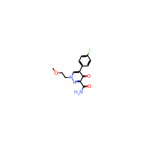 COCCn1cc(-c2ccc(F)cc2)c(=O)c(C(N)=O)n1